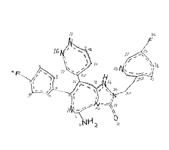 Nc1nc(-c2ccc(F)cc2)c(-c2ccnnc2)c2[nH]n(Cc3ccc(F)cn3)c(=O)[n+]12